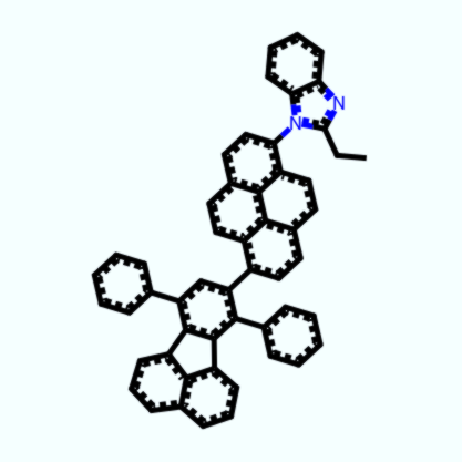 CCc1nc2ccccc2n1-c1ccc2ccc3c(-c4cc(-c5ccccc5)c5c(c4-c4ccccc4)-c4cccc6cccc-5c46)ccc4ccc1c2c43